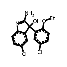 CCOc1ccc(Cl)cc1C1(O)C(N)=Nc2ccc(Cl)cc21